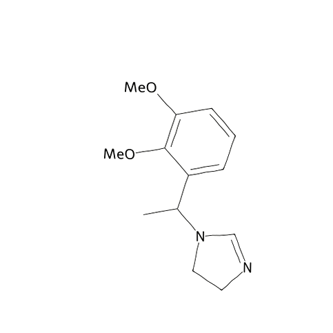 COc1cccc(C(C)N2C=NCC2)c1OC